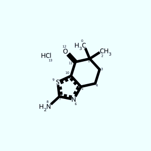 CC1(C)CCc2nc(N)sc2C1=O.Cl